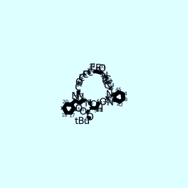 CC(C)(C)OC(=O)[C@@H]1C[C@H]2CN1c1nc(nc3c1oc1ccccc13)COCCCC(F)(F)C(=O)N1CCC(CC1)n1c(nc3ccccc31)O2